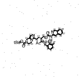 CC(=O)N(NCc1cccc(F)c1Cl)[C@@H](CCc1ncc2n1CCN(C(=O)OC(C)(C)C)C2)COC(=O)Nc1cc2ccccc2cn1